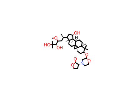 COC(C[C@@H](C)C1C[C@H](O)[C@@]2(C)[C@@H]3CC[C@H]4C(C)(C)[C@@H](OC5CN([C@@H]6CCOC6=O)CCO5)CC[C@@]45CC35CC[C@]12C)[C@H](O)C(C)(C)O